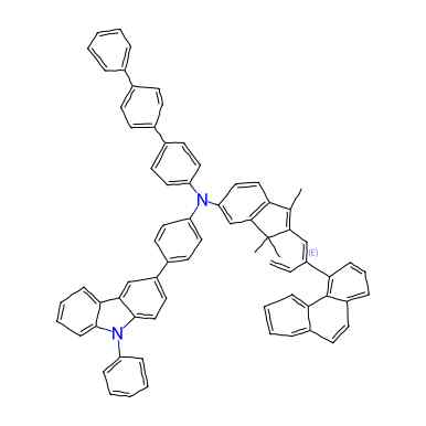 C=C/C(=C\C1=C(C)c2ccc(N(c3ccc(-c4ccc(-c5ccccc5)cc4)cc3)c3ccc(-c4ccc5c(c4)c4ccccc4n5-c4ccccc4)cc3)cc2C1(C)C)c1cccc2ccc3ccccc3c12